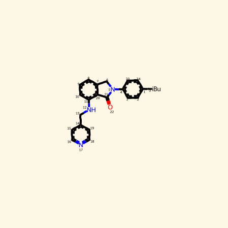 CCC(C)c1ccc(N2Cc3cccc(NCc4ccncc4)c3C2=O)cc1